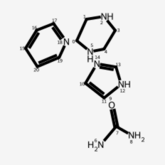 C1CNCCN1.NC(N)=O.c1c[nH]cn1.c1ccncc1